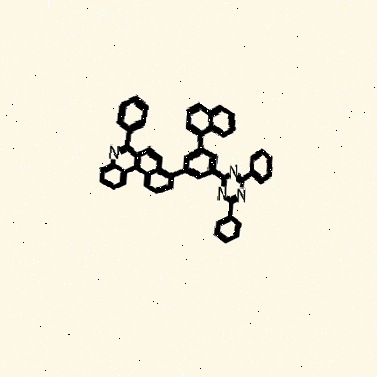 c1ccc(-c2nc(-c3ccccc3)nc(-c3cc(-c4cccc5ccccc45)cc(-c4cccc5c4ccc4c(-c6ccccc6)nc6ccccc6c45)c3)n2)cc1